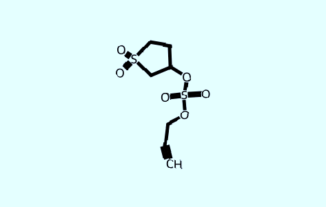 C#CCOS(=O)(=O)OC1CCS(=O)(=O)C1